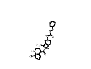 Nc1c2c(nn1C(=O)[C@@H]1CCNc3c(Cl)cccc31)CC[C@H](NC(=O)OCc1ccccc1)C2